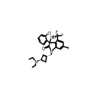 CCN(CC)[C@H]1C[C@H](CN2C(=O)C(O)(c3ccccc3Cl)c3c2cc(I)cc3C(F)(F)F)C1